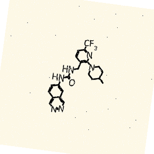 CC1CCN(c2nc(C(F)(F)F)ccc2CNC(=O)Nc2ccc3cnncc3c2)CC1